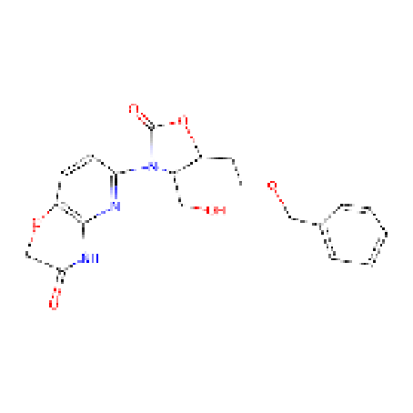 O=C1COc2ccc(N3C(=O)OC(CCOCc4ccccc4)C3CO)nc2N1